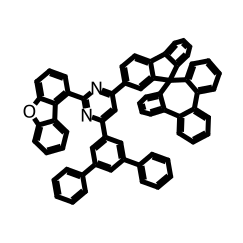 c1ccc(-c2cc(-c3ccccc3)cc(-c3cc(-c4ccc5c(c4)C4(c6ccccc6-c6ccccc6-c6ccccc64)c4ccccc4-5)nc(-c4cccc5oc6ccccc6c45)n3)c2)cc1